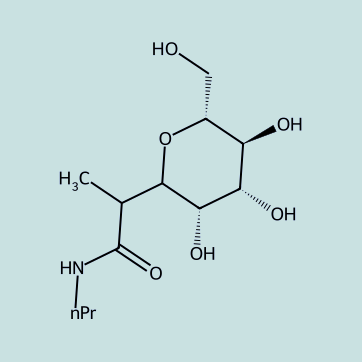 CCCNC(=O)C(C)C1O[C@H](CO)[C@@H](O)[C@H](O)[C@@H]1O